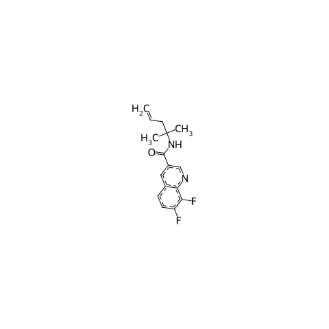 C=CCC(C)(C)NC(=O)c1cnc2c(F)c(F)ccc2c1